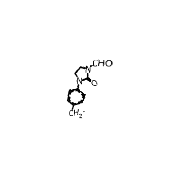 [CH2]c1ccc(N2CCN(C=O)C2=O)cc1